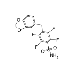 NS(=O)(=O)c1c(F)c(F)c(Cc2ccc3c(c2)OCO3)c(F)c1F